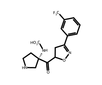 O=C(O)N[C@@]1(C(=O)C2CC(c3cccc(C(F)(F)F)c3)=NO2)CCNC1